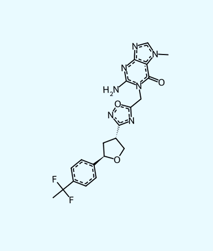 Cn1cnc2nc(N)n(Cc3nc([C@@H]4CO[C@@H](c5ccc(C(C)(F)F)cc5)C4)no3)c(=O)c21